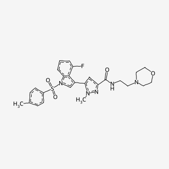 Cc1ccc(S(=O)(=O)n2cc(-c3cc(C(=O)NCCN4CCOCC4)nn3C)c3c(F)cccc32)cc1